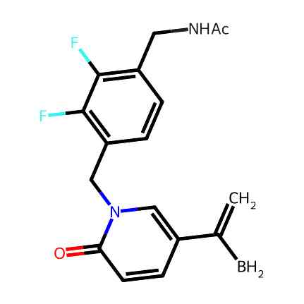 BC(=C)c1ccc(=O)n(Cc2ccc(CNC(C)=O)c(F)c2F)c1